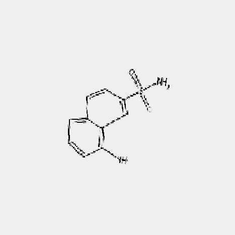 [NH]c1cccc2ccc(S(N)(=O)=O)cc12